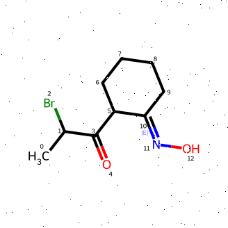 CC(Br)C(=O)C1CCCC/C1=N\O